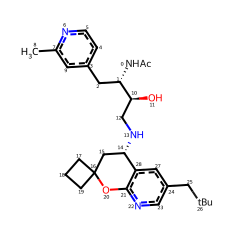 CC(=O)N[C@@H](Cc1ccnc(C)c1)[C@@H](O)CN[C@H]1CC2(CCC2)Oc2ncc(CC(C)(C)C)cc21